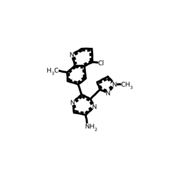 Cc1cc(-c2ncc(N)nc2-c2ccn(C)n2)cc2c(Cl)ccnc12